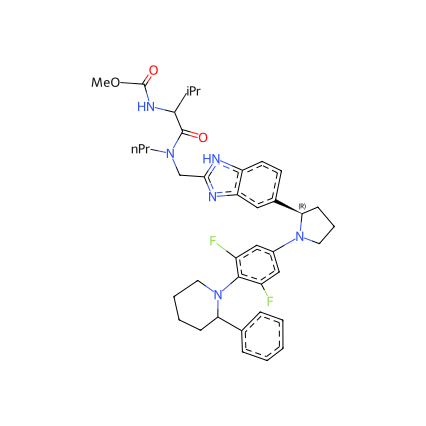 CCCN(Cc1nc2cc([C@H]3CCCN3c3cc(F)c(N4CCCCC4c4ccccc4)c(F)c3)ccc2[nH]1)C(=O)C(NC(=O)OC)C(C)C